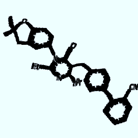 CCCc1nc(CC)n(-c2ccc3c(c2)CC(C)(C)O3)c(=O)c1Cc1ccc(-c2ccccc2C#N)cc1